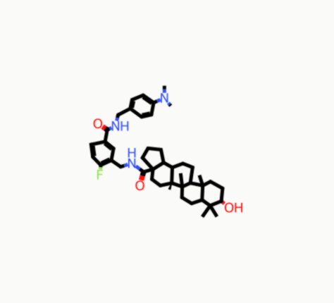 CN(C)c1ccc(CNC(=O)c2ccc(F)c(CNC(=O)C34CCCC3C3CCC5C6(C)CCC(O)C(C)(C)C6CCC5(C)[C@]3(C)CC4)c2)cc1